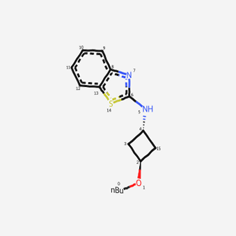 CCCCO[C@H]1C[C@H](Nc2nc3ccccc3s2)C1